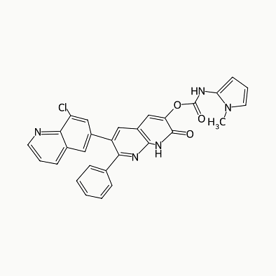 Cn1cccc1NC(=O)Oc1cc2cc(-c3cc(Cl)c4ncccc4c3)c(-c3ccccc3)nc2[nH]c1=O